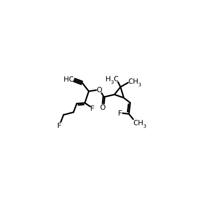 C#CC(OC(=O)C1C(C=C(C)F)C1(C)C)C(F)=CCCF